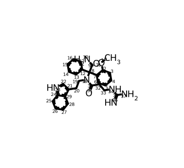 COc1ccccc1C(C(N)=O)(c1ccccc1)N(CCc1c[nH]c2ccccc12)C(=O)CCNC(=N)N